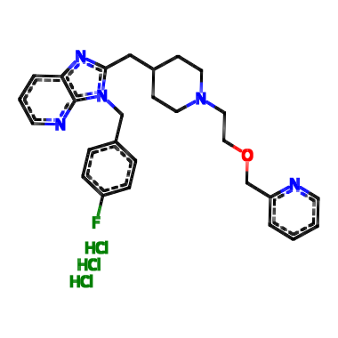 Cl.Cl.Cl.Fc1ccc(Cn2c(CC3CCN(CCOCc4ccccn4)CC3)nc3cccnc32)cc1